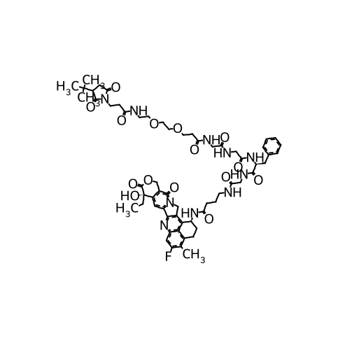 CC[C@@]1(O)C(=O)OCc2c1cc1n(c2=O)Cc2c-1nc1cc(F)c(C)c3c1c2[C@@H](NC(=O)CCCNC(=O)CNC(=O)[C@H](Cc1ccccc1)NC(=O)CNC(=O)CNC(=O)CCOCCOCCNC(=O)CCN1C(=O)CC(C(C)(C)C)C1=O)CC3